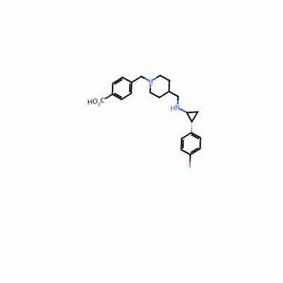 O=C(O)c1ccc(CN2CCC(CN[C@H]3C[C@@H]3c3ccc(I)cc3)CC2)cc1